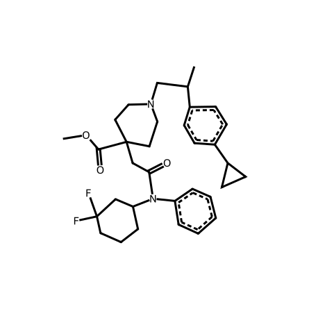 COC(=O)C1(CC(=O)N(c2ccccc2)C2CCCC(F)(F)C2)CCN(CC(C)c2ccc(C3CC3)cc2)CC1